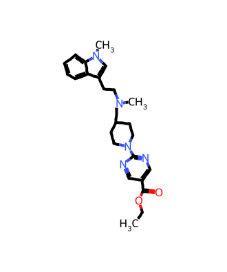 CCOC(=O)c1cnc(N2CCC(CN(C)CCc3cn(C)c4ccccc34)CC2)nc1